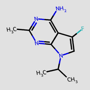 Cc1nc(N)c2c(F)cn(C(C)C)c2n1